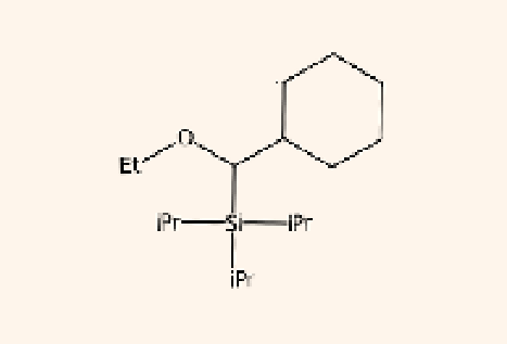 CCOC(C1[CH]CCCC1)[Si](C(C)C)(C(C)C)C(C)C